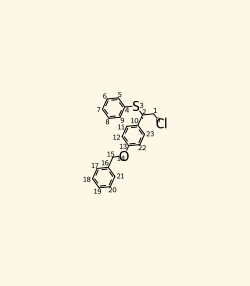 ClC[C](Sc1ccccc1)c1ccc(OCc2ccccc2)cc1